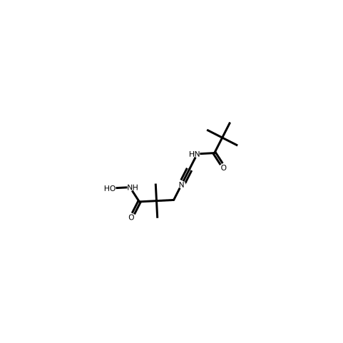 CC(C)(C)C(=O)NC#[N+]CC(C)(C)C(=O)NO